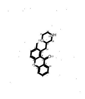 Cc1ccc2sc3ccccc3c(=O)c2c1CC1CNCCO1